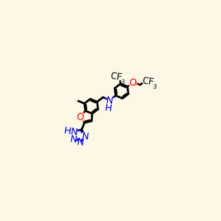 Cc1cc(CNc2ccc(OCC(F)(F)F)c(C(F)(F)F)c2)cc2cc(-c3nnn[nH]3)oc12